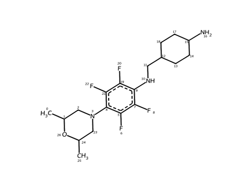 CC1CN(c2c(F)c(F)c(NCC3CCC(N)CC3)c(F)c2F)CC(C)O1